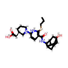 CCCSC1=C(C(=O)NC2C3CC4CC2CC(O)(C4)C3)C=CC(N2CCC[C@H](CC(=O)O)C2)N1